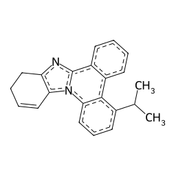 CC(C)c1cccc2c1c1ccccc1c1nc3c(n21)C=CCC3